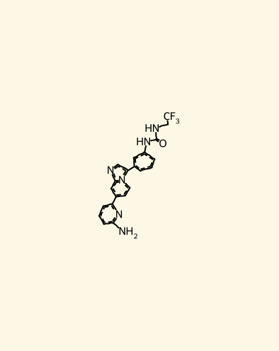 Nc1cccc(-c2ccn3c(-c4cccc(NC(=O)NCC(F)(F)F)c4)cnc3c2)n1